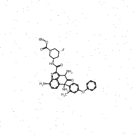 Cc1cc(Oc2ccccc2)ccc1C1(N)C(=O)C(N)c2c(C(=O)N[C@@H]3C[C@@H](F)CN(C(=O)OC(C)(C)C)C3)sc3c(N)ccc1c23